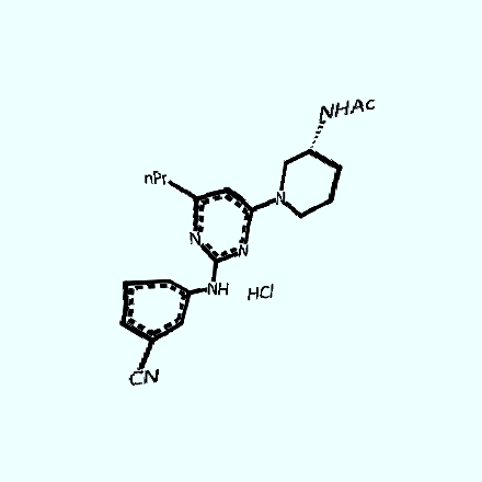 CCCc1cc(N2CCC[C@@H](NC(C)=O)C2)nc(Nc2cccc(C#N)c2)n1.Cl